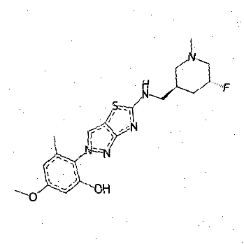 COc1cc(C)c(-n2cc3sc(NC[C@@H]4C[C@@H](F)CN(C)C4)nc3n2)c(O)c1